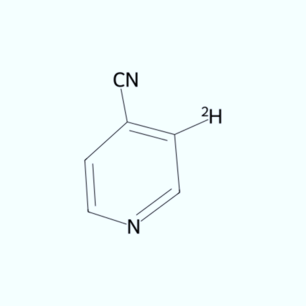 [2H]c1cnccc1C#N